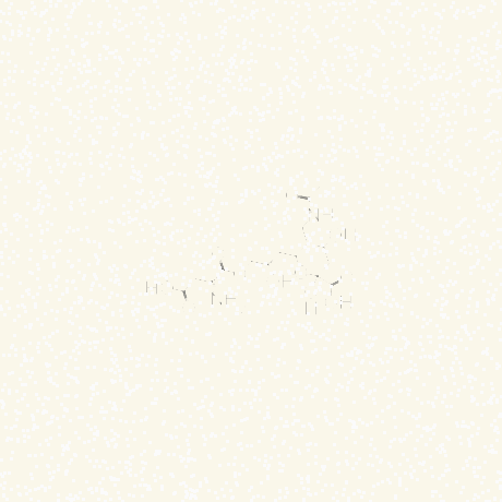 CC(=O)NCC1C(O)CC(O)(C(=O)O)OC1C[C@H](O)COC(=O)[C@H](N)CC(=O)O